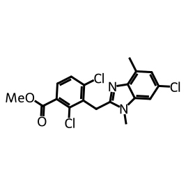 COC(=O)c1ccc(Cl)c(Cc2nc3c(C)cc(Cl)cc3n2C)c1Cl